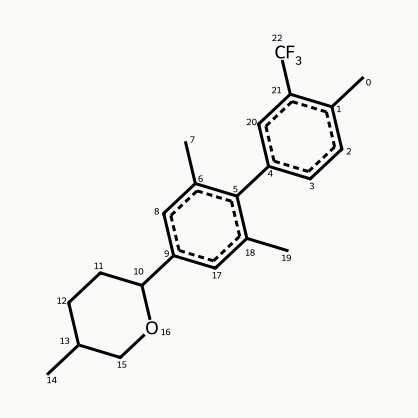 Cc1ccc(-c2c(C)cc(C3CCC(C)CO3)cc2C)cc1C(F)(F)F